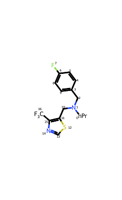 CCCN(Cc1ccc(F)cc1)Cc1s[c]nc1C(F)(F)F